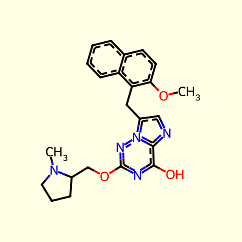 COc1ccc2ccccc2c1Cc1cnc2c(O)nc(OCC3CCCN3C)nn12